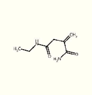 C=C(CC(=O)NCC)C(N)=O